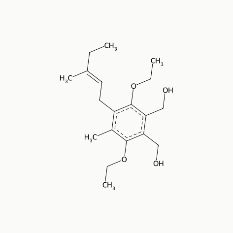 CCOc1c(C)c(C/C=C(\C)CC)c(OCC)c(CO)c1CO